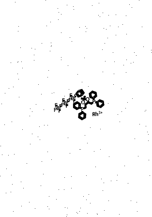 C1=CC2C=CC1C2.CC1(C)OC(CP(c2ccccc2)c2ccccc2)C(CP(c2ccccc2)c2ccccc2)O1.F[B-](F)(F)F.F[B-](F)(F)F.F[B-](F)(F)F.[Rh+3]